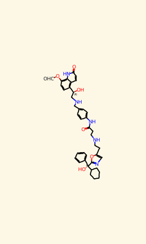 O=COc1ccc([C@@H](O)CNCc2ccc(NC(=O)CCNCCc3cnc([C@](O)(c4ccccc4)C4CCCCC4)o3)cc2)c2ccc(=O)[nH]c12